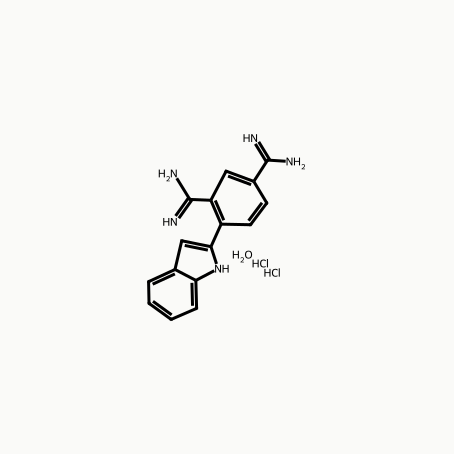 Cl.Cl.N=C(N)c1ccc(-c2cc3ccccc3[nH]2)c(C(=N)N)c1.O